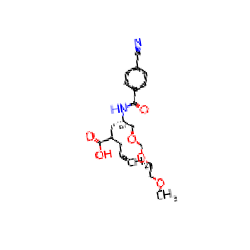 C=CCC(C[C@@H](COCOCCOC)NC(=O)c1ccc(C#N)cc1)C(=O)O